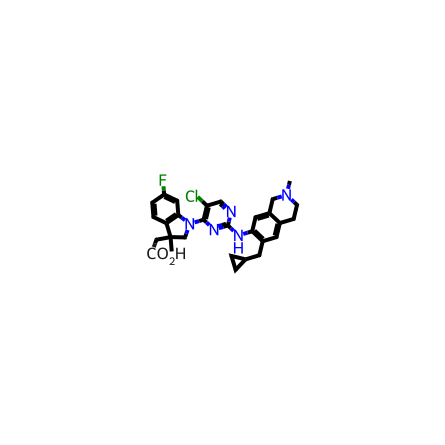 CN1CCc2cc(CC3CC3)c(Nc3ncc(Cl)c(N4CC(C)(CC(=O)O)c5ccc(F)cc54)n3)cc2C1